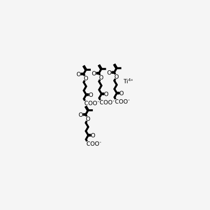 C=C(C)C(=O)OCCCC(=O)CC(=O)[O-].C=C(C)C(=O)OCCCC(=O)CC(=O)[O-].C=C(C)C(=O)OCCCC(=O)CC(=O)[O-].C=C(C)C(=O)OCCCC(=O)CC(=O)[O-].[Ti+4]